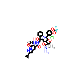 COc1cc(C(=O)NC[C@@](O)(c2ccccc2)c2cc3c(c(-c4ccc5c(c4Cl)OC(F)(F)O5)n2)OC[C@]3(C)C(N)=O)cc2cc(C3CC3)nn12